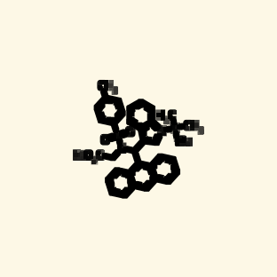 CCOC(=O)CN(C(c1c2ccccc2cc2ccccc12)c1cn([Si](C)(C)C(C)(C)C)c2ccccc12)S(=O)(=O)c1ccc(C)cc1